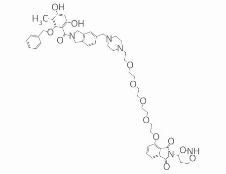 Cc1c(O)cc(O)c(C(=O)N2Cc3ccc(CN4CCN(CCOCCOCCOCCOCCOc5cccc6c5C(=O)N(C5CCONO5)C6=O)CC4)cc3C2)c1OCc1ccccc1